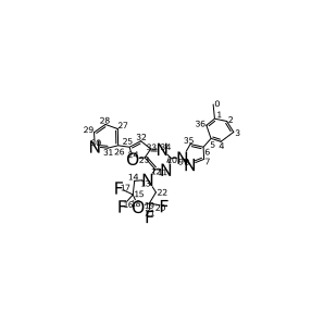 Cc1cccc(-c2cnn(-c3nc(N4CC(F)(F)OC(F)(F)C4)c4oc(-c5cccnc5)cc4n3)c2)c1